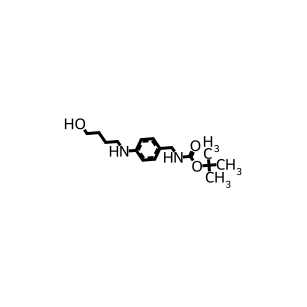 CC(C)(C)OC(=O)NCc1ccc(NCCCCO)cc1